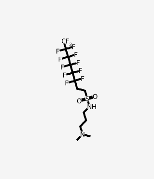 CN(C)CCCNS(=O)(=O)CCC(F)(F)C(F)(F)C(F)(F)C(F)(F)C(F)(F)C(F)(F)F